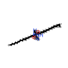 CCCCCCCCCCCCCCCCCC(=O)NC(CCC)(CCN(C)C)NC(=O)CCCCCCCCCCCCCCC(C)C